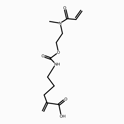 C=CC(=O)N(C)CCOC(=O)NCCCC(=C)C(=O)O